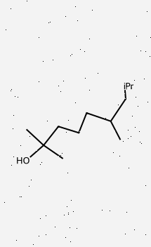 CC(C)CC(C)CCCC(C)(C)O